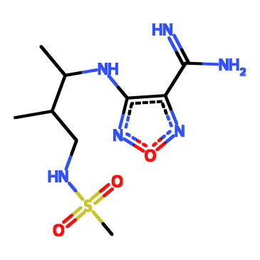 CC(CNS(C)(=O)=O)C(C)Nc1nonc1C(=N)N